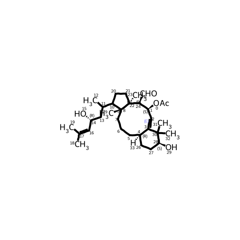 CC(=O)O[C@H]1/C=C2\[C@H](CCC[C@]3(C)C(C(C)C[C@@H](O)C=C(C)C)CC[C@@]3(C)[C@H]1C=O)CC[C@H](O)C2(C)C